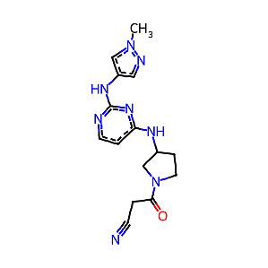 Cn1cc(Nc2nccc(NC3CCN(C(=O)CC#N)C3)n2)cn1